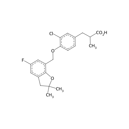 CC(Cc1ccc(OCc2cc(F)cc3c2OC(C)(C)C3)c(Cl)c1)C(=O)O